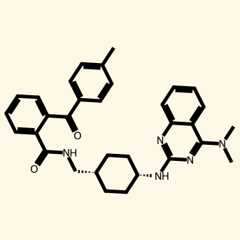 Cc1ccc(C(=O)c2ccccc2C(=O)NC[C@H]2CC[C@@H](Nc3nc(N(C)C)c4ccccc4n3)CC2)cc1